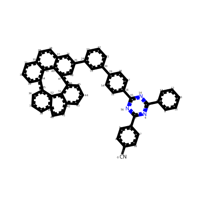 N#Cc1ccc(-c2nc(-c3ccccc3)nc(-c3ccc(-c4cccc(-c5cc6ccc7cccc8c9cccc%10ccc%11cccc(c(c5)c6c78)c%11c%109)c4)cc3)n2)cc1